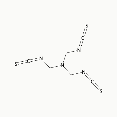 S=C=NCN(CN=C=S)CN=C=S